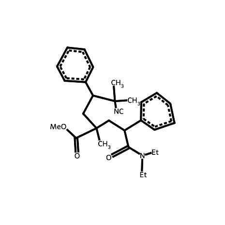 [C-]#[N+]C(C)(C)C(CC(C)(CC(C(=O)N(CC)CC)c1ccccc1)C(=O)OC)c1ccccc1